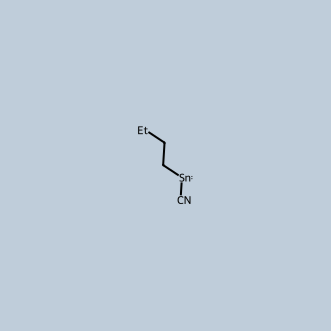 CCC[CH2][Sn][C]#N